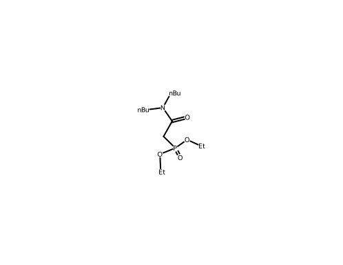 CCCCN(CCCC)C(=O)CP(=O)(OCC)OCC